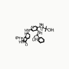 CC(C)n1[nH]c(=O)c2ccc(Nc3cc(N[C@H](CO)c4ccccc4)c(-c4nnc(C(C)(C)O)o4)cn3)nc21